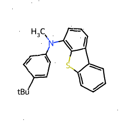 CN(c1ccc(C(C)(C)C)cc1)c1cccc2c1sc1ccccc12